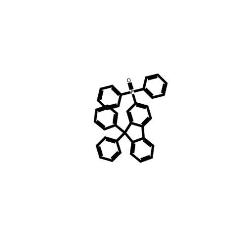 O=P(c1ccccc1)(c1ccccc1)c1ccc2c(c1)C(c1ccccc1)(c1ccccc1)c1ccccc1-2